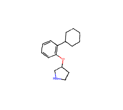 [c]1cccc(C2CCCCC2)c1OC1CCNC1